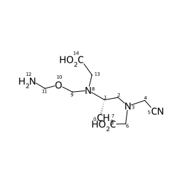 C[C@@H](CN(CC#N)CC(=O)O)N(COCN)CC(=O)O